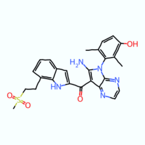 Cc1ccc(O)c(C)c1-n1c(N)c(C(=O)c2cc3cccc(CCS(C)(=O)=O)c3[nH]2)c2nccnc21